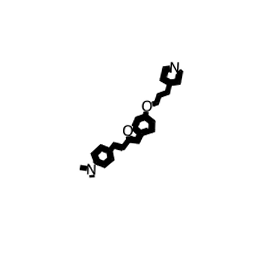 CN(C)c1ccc(C=Cc2cc3ccc(OCCCc4ccncc4)cc3o2)cc1